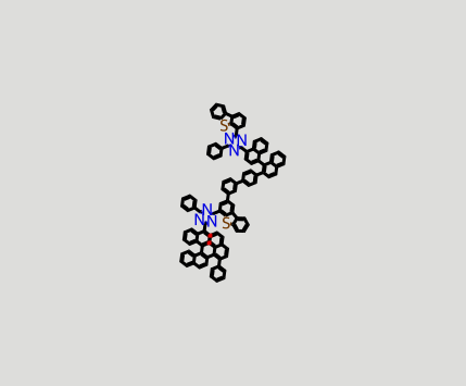 c1ccc(-c2nc(-c3ccc(-c4c(-c5ccc(-c6cccc(-c7cc(-c8nc(-c9ccccc9)nc(-c9ccc(-c%10c(-c%11c(-c%12ccccc%12)ccc%12ccccc%11%12)ccc%11ccccc%10%11)c%10ccccc9%10)n8)c8sc9ccccc9c8c7)c6)cc5)ccc5ccccc45)c4ccccc34)nc(-c3cccc4c3sc3ccccc34)n2)cc1